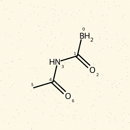 BC(=O)NC(C)=O